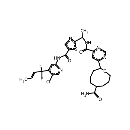 C/C=C/C(F)(F)c1cc(NC(=O)c2cnc(C(C)NC(=O)c3cc(C4CCCCC(C(N)=O)CCC4)ncn3)s2)ncc1Cl